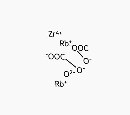 O=C([O-])[O-].O=C([O-])[O-].[O-2].[Rb+].[Rb+].[Zr+4]